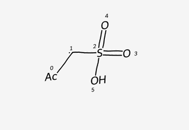 CC(=O)[CH]S(=O)(=O)O